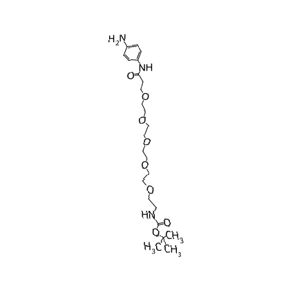 CC(C)(C)OC(=O)NCCOCCOCCOCCOCCOCCC(=O)Nc1ccc(N)cc1